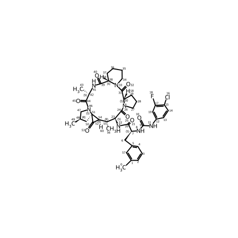 Cc1cccc(C[C@H](NC(=O)Nc2ccc(Cl)c(F)c2)C(=O)N[C@@H]2C(=O)N3CCC[C@H]3C(=O)N3CCCC[C@H]3C(=O)N[C@@H](C)C(=O)N3C[C@H](C)C[C@]34C(=O)[C@@H]4[C@H]2C)c1